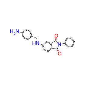 Nc1ccc(CNc2ccc3c(c2)C(=O)N(c2ccccc2)C3=O)cc1